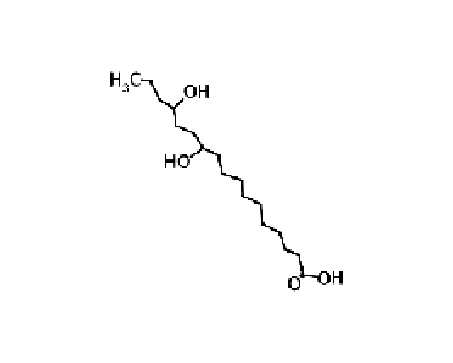 CCCC(O)CCC(O)CCCCCCCCCC(=O)O